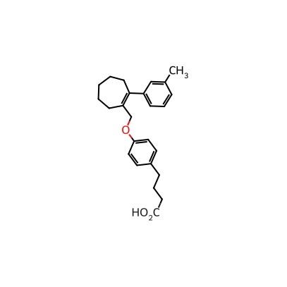 Cc1cccc(C2=C(COc3ccc(CCCC(=O)O)cc3)CCCCC2)c1